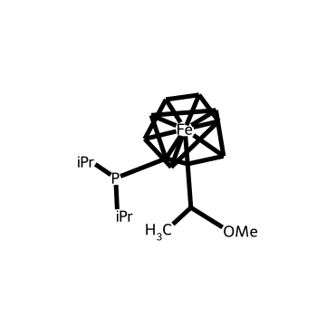 COC(C)[C]12[CH]3[CH]4[CH]5[C]1(P(C(C)C)C(C)C)[Fe]43521678[CH]2[CH]1[CH]6[CH]7[CH]28